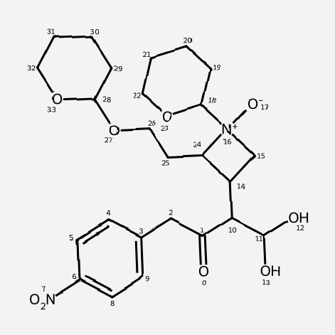 O=C(Cc1ccc([N+](=O)[O-])cc1)C(C(O)O)C1C[N+]([O-])(C2CCCCO2)C1CCOC1CCCCO1